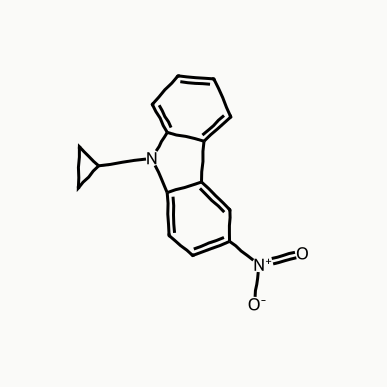 O=[N+]([O-])c1ccc2c(c1)c1ccccc1n2C1CC1